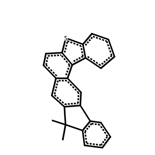 CC1(C)c2ccccc2-c2cc3c(ccc4sc5ccccc5c43)cc21